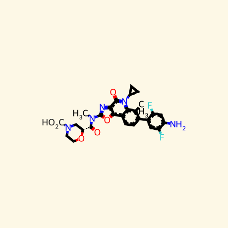 Cc1c(-c2cc(F)c(N)cc2F)ccc2c3oc(N(C)C(=O)[C@H]4CN(C(=O)O)CCO4)nc3c(=O)n(C3CC3)c12